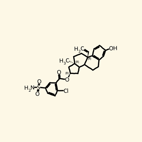 C=C[C@]12CC[C@]3(C)C[C@H](OC(=O)c4cc(S(N)(=O)=O)ccc4Cl)CC3C1CCc1cc(O)ccc12